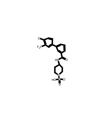 O=C(NC1CCN(P(=O)(O)Cl)CC1)c1cccc(-c2ccc(Cl)c(C(F)(F)F)c2)c1